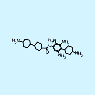 Nc1cc(OC(=O)C2CCC(C3CCC(N)CC3)CC2)c(N)c(N)c1C1CCC(N)CC1